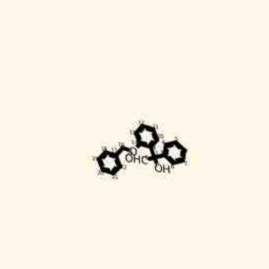 O=CC(O)(c1ccccc1)c1ccccc1OCc1ccccc1